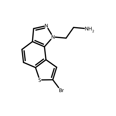 NCCn1ncc2ccc3sc(Br)cc3c21